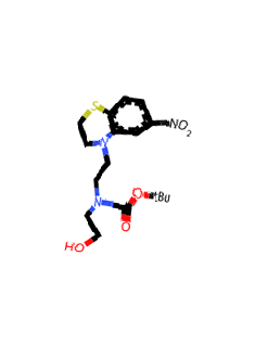 CC(C)(C)OC(=O)N(CCO)CCN1CCSc2ccc([N+](=O)[O-])cc21